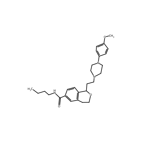 CCCCNC(=O)c1ccc2c(c1)CCOC2CCN1CCN(c2ccc(OC)cc2)CC1